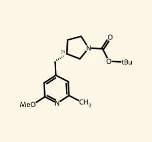 COc1cc(C[C@@H]2CCN(C(=O)OC(C)(C)C)C2)cc(C)n1